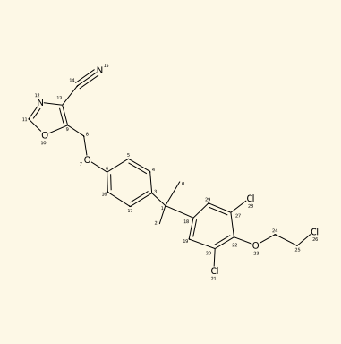 CC(C)(c1ccc(OCc2ocnc2C#N)cc1)c1cc(Cl)c(OCCCl)c(Cl)c1